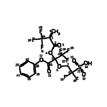 C=C(C(=O)OC(OCC(F)(F)S(=O)(=O)O)(C(=O)Oc1ccccc1)C(F)(F)F)C(F)(F)F